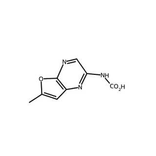 Cc1cc2nc(NC(=O)O)cnc2o1